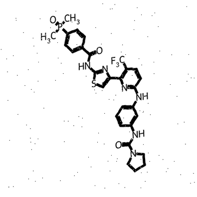 CP(C)(=O)c1ccc(C(=O)Nc2nc(-c3nc(Nc4cccc(NC(=O)N5CCCC5)c4)ccc3C(F)(F)F)cs2)cc1